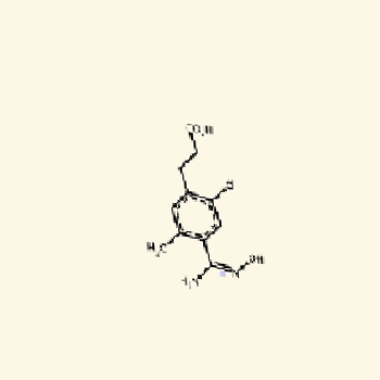 Cc1cc(CCC(=O)O)c(Cl)cc1/C(N)=N\O